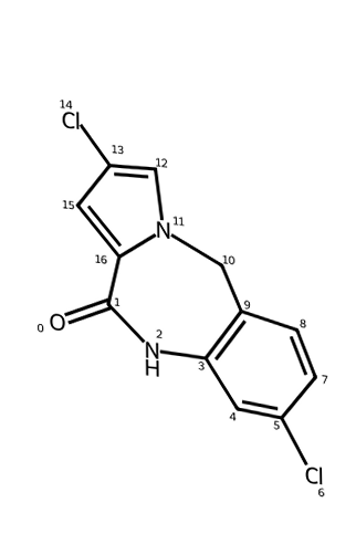 O=C1Nc2cc(Cl)ccc2Cn2cc(Cl)cc21